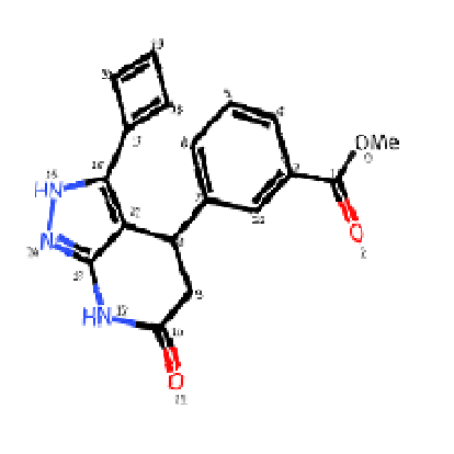 COC(=O)c1cccc(C2CC(=O)Nc3n[nH]c(C4=CC=C4)c32)c1